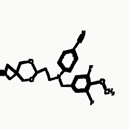 COc1c(F)cc(CN(CCC2OCC3(CNC3)CO2)c2ccc(C#N)cc2)cc1F